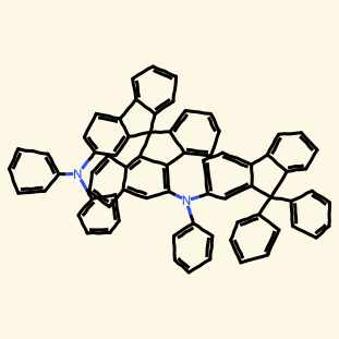 c1ccc(N(c2ccccc2)c2ccc3c(c2)C2(c4ccccc4-3)c3ccccc3-c3c(N(c4ccccc4)c4ccc5c(c4)C(c4ccccc4)(c4ccccc4)c4ccccc4-5)cc4ccccc4c32)cc1